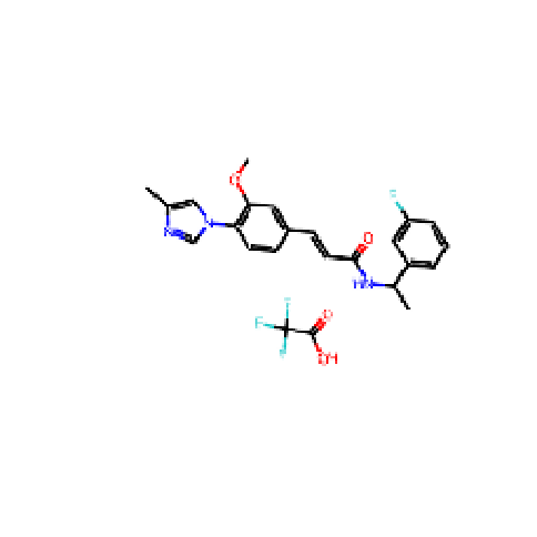 COc1cc(C=CC(=O)NC(C)c2cccc(F)c2)ccc1-n1cnc(C)c1.O=C(O)C(F)(F)F